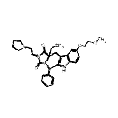 CCC12Cc3c([nH]c4ccc(OCCOC)cc34)C(c3ccccc3)N1C(=O)N(CCN1CCCC1)C2=O